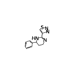 c1ccc(C2CCN=C(c3csnn3)N2)cc1